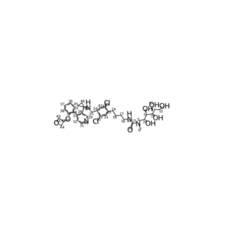 CN(C[C@H](O)[C@@H](O)[C@H](O)[C@H](O)CO)C(=O)NCCCCc1cc(Cl)c(CNC2(c3cnccc3-c3ccccc3OC3COC3)CC2)cc1Cl